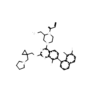 C=CC(=O)N1CCN(c2nc(OCC3(CN4CCCC4)CC3)nc3c(F)c(-c4cccc5ccc(F)c(Cl)c45)ccc23)CC1CC#N